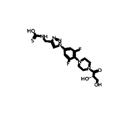 O=C([C@@H](O)CO)N1CCN(c2c(F)cc(-n3cc(CNC(O)=S)nn3)cc2F)CC1